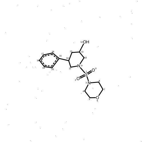 O=S(=O)(N1CCOCC1)N1CC(O)CC(c2ccccc2)C1